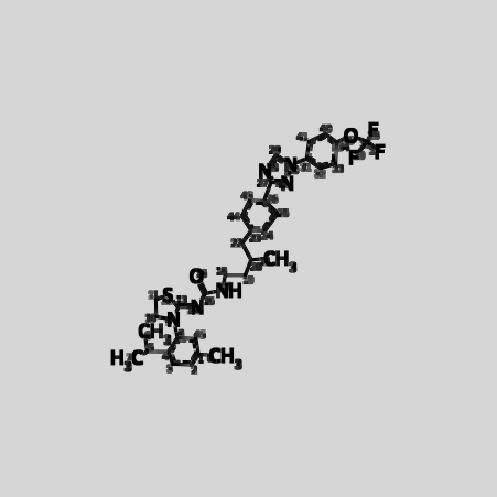 Cc1ccc(C(C)C)c(N2CCS/C2=N\C(=O)NCCC(C)Cc2ccc(-c3ncn(-c4ccc(OC(F)(F)F)cc4)n3)cc2)c1